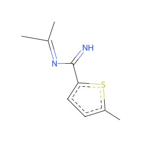 CC(C)=NC(=N)c1ccc(C)s1